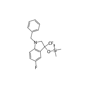 C[Si](C)(C)OC1(C(F)(F)F)CN(Cc2ccccc2)c2ccc(F)cc21